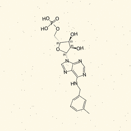 Cc1cccc(CNc2ncnc3c2ncn3[C@@H]2O[C@H](COP(=O)(O)O)[C@@H](O)[C@H]2O)c1